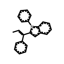 C/C=C(\c1ccccc1)c1cc2ccccc2n1-c1ccccc1